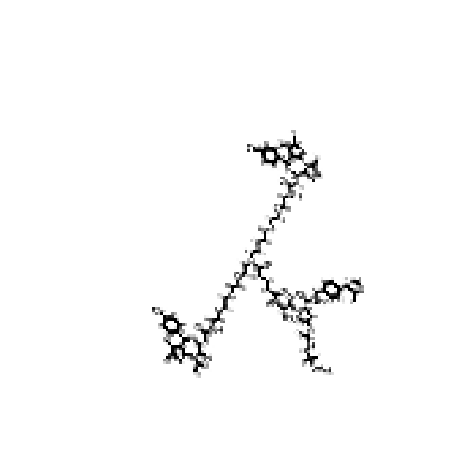 Cc1ncsc1-c1ccc(CNC(=O)[C@@H]2C[C@@H](OC(=O)OCC(C)(C)SS)CN2C(=O)[C@@H](NC(=O)CCCC(=O)N(CCCCCOCCOCCNC(=O)C[C@@H]2N=C(c3ccc(Cl)cc3)c3c(sc(C)c3C)-n3c(C)nnc32)CCOCCOCCOCCNC(=O)C[C@@H]2N=C(c3ccc(Cl)cc3)c3c(sc(C)c3C)-n3c(C)nnc32)C(C)(C)C)cc1